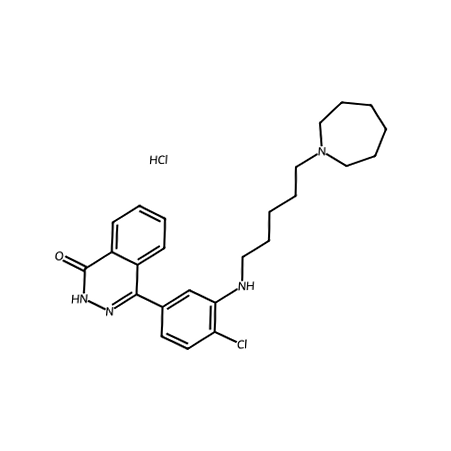 Cl.O=c1[nH]nc(-c2ccc(Cl)c(NCCCCCN3CCCCCC3)c2)c2ccccc12